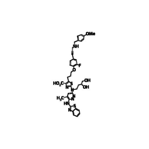 COc1ccc(CNCC#Cc2ccc(OCCCc3sc(N(CCC(O)CO)c4cc(C)c(Nc5nc6ccccc6s5)nn4)nc3C(=O)O)c(F)c2)cc1